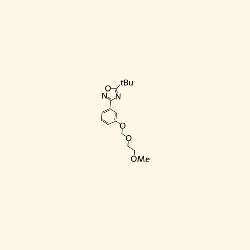 COCCOCOc1cccc(-c2noc(C(C)(C)C)n2)c1